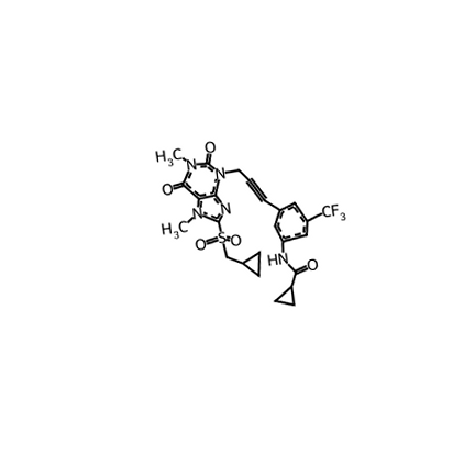 Cn1c(=O)c2c(nc(S(=O)(=O)CC3CC3)n2C)n(CC#Cc2cc(NC(=O)C3CC3)cc(C(F)(F)F)c2)c1=O